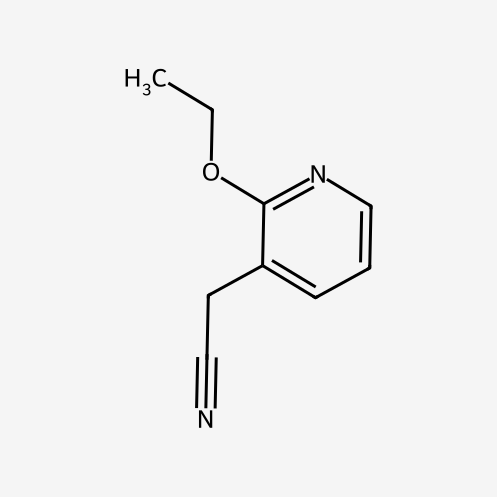 CCOc1ncccc1CC#N